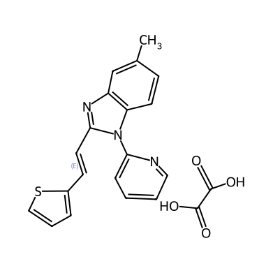 Cc1ccc2c(c1)nc(/C=C/c1cccs1)n2-c1ccccn1.O=C(O)C(=O)O